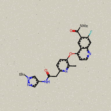 CNC(=O)c1cc2c(Oc3ccc(CC(=O)Nc4cnn(C(C)(C)C)c4)nc3C)ccnc2cc1F